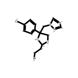 Clc1ccc(C2(Cn3cncn3)COC(CCBr)O2)cc1